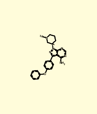 [2H]N1CCC[C@@H](n2nc(-c3ccc(Oc4ccccc4)cc3)c3c(N)ncnc32)C1